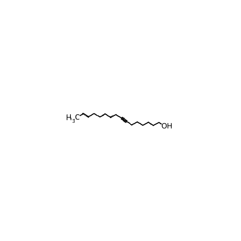 CCCCCCCCC#CCCCCCCO